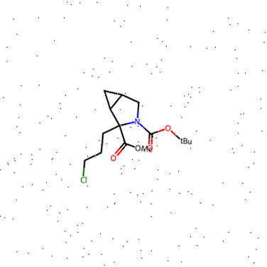 COC(=O)C1(CCCCl)C2CC2CN1C(=O)OC(C)(C)C